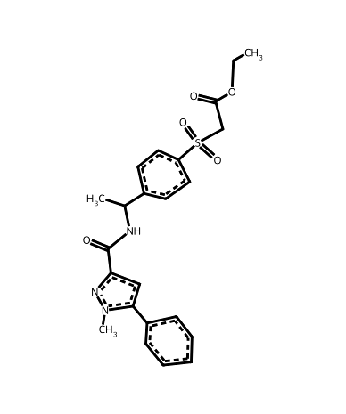 CCOC(=O)CS(=O)(=O)c1ccc(C(C)NC(=O)c2cc(-c3ccccc3)n(C)n2)cc1